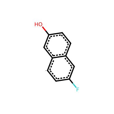 Oc1ccc2cc(F)c[c]c2c1